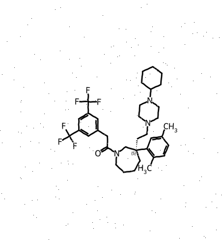 Cc1ccc(C)c([C@@]2(CCN3CCN(C4CCCCC4)CC3)CCCCN(C(=O)Cc3cc(C(F)(F)F)cc(C(F)(F)F)c3)C2)c1